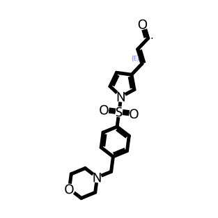 O=[C]/C=C/c1ccn(S(=O)(=O)c2ccc(CN3CCOCC3)cc2)c1